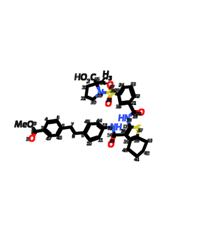 COC(=O)c1ccc(CCc2ccc(NC(=O)c3c(NC(=O)c4cccc(S(=O)(=O)N5CCCC5(C)C(=O)O)c4)sc4c3CCCC4)cc2)cc1